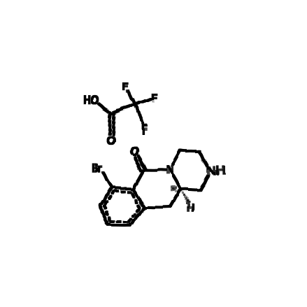 O=C(O)C(F)(F)F.O=C1c2c(Br)cccc2C[C@@H]2CNCCN12